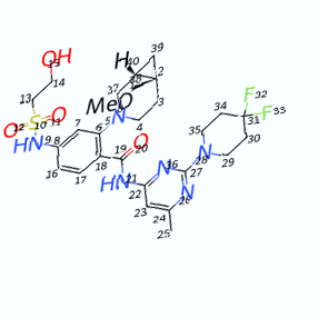 COC[C@@]12CCN(c3cc(NS(=O)(=O)CCO)ccc3C(=O)Nc3cc(C)nc(N4CCC(F)(F)CC4)n3)C[C@@H]1C2